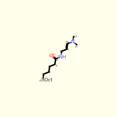 CCCCCCCCCCCCC(=O)NCC=CN(C)C